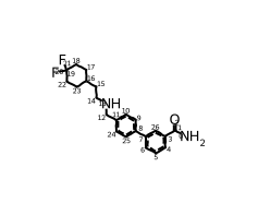 NC(=O)c1cccc(-c2ccc(CNCCC3CCC(F)(F)CC3)cc2)c1